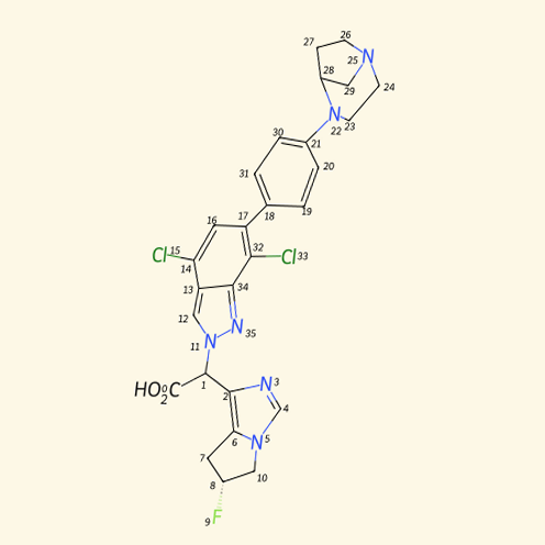 O=C(O)C(c1ncn2c1C[C@@H](F)C2)n1cc2c(Cl)cc(-c3ccc(N4CCN5CCC4C5)cc3)c(Cl)c2n1